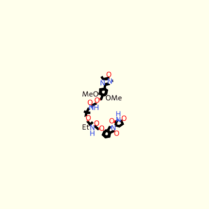 CCC(C)(COCC(C)(C)CNC(=O)COCc1c(OC)cc(-c2cn(C)c(=O)c(C)n2)cc1OC)NC(=O)COc1cccc2c1CN(C1CCC(=O)NC1=O)C2=O